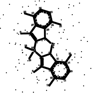 CC1=C2[CH]([Zr][CH]3C(=C(C)c4c(C)ccc(C)c43)[Si]2(C)C)c2c(C)ccc(C)c21